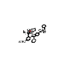 COc1ccc2c(c1)C1CC1(C(=O)N1C3CCC1CN(C)C3)Cn1c-2c(C2CCCCC2)c2ccc(C(=O)NS(=O)(=O)Cc3ccccc3)cc21